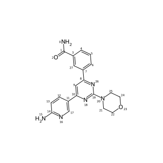 NC(=O)c1cccc(-c2cc(-c3ccc(N)nc3)nc(N3CCOCC3)n2)c1